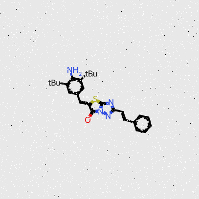 CC(C)(C)c1cc(/C=c2\sc3nc(/C=C/c4ccccc4)nn3c2=O)cc(C(C)(C)C)c1N